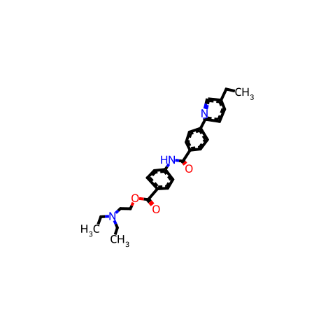 CCc1ccc(-c2ccc(C(=O)Nc3ccc(C(=O)OCCN(CC)CC)cc3)cc2)nc1